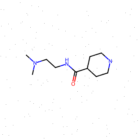 CN(C)CCNC(=O)C1CC[N]CC1